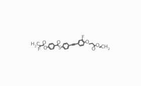 C=COC(=O)CCOc1ccc(C#Cc2ccc(SC(=O)c3ccc(OC(=O)C(=C)F)cc3)cc2)cc1F